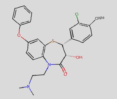 COc1ccc([C@H]2Sc3cc(Oc4ccccc4)ccc3N(CCN(C)C)C(=O)[C@H]2O)cc1Cl